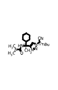 CCCC[C@@H](C#N)n1cc([C@@](C)(NC(=O)N(C)C)C2CCCCC2)nn1